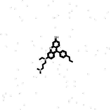 CCCc1ccc(-c2c3ccc(=N)cc-3oc3cc(N(CC)CCCN(C)C)ccc23)cc1